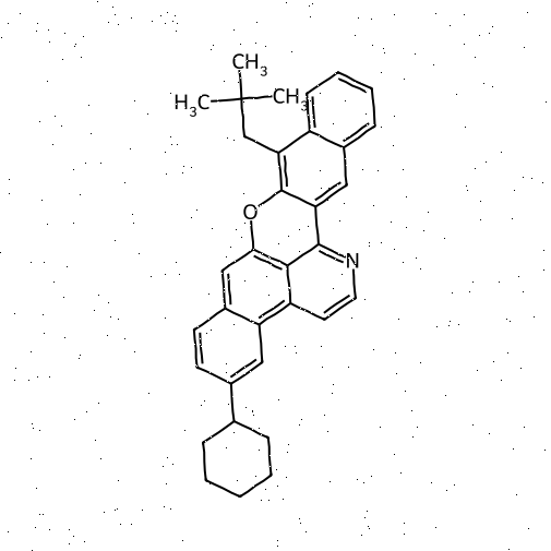 CC(C)(C)Cc1c2c(cc3ccccc13)-c1nccc3c1c(cc1ccc(C4CCCCC4)cc13)O2